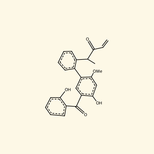 C=CC(=O)C(C)c1ccccc1-c1cc(C(=O)c2ccccc2O)c(O)cc1OC